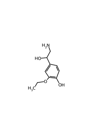 CCOc1cc(C(O)CN)ccc1O